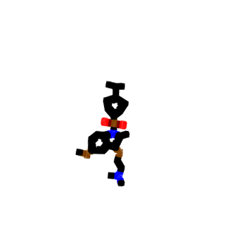 CSc1ccc2c(c1)c(SCCN(C)C)c(C)n2S(=O)(=O)c1ccc(C(C)C)cc1